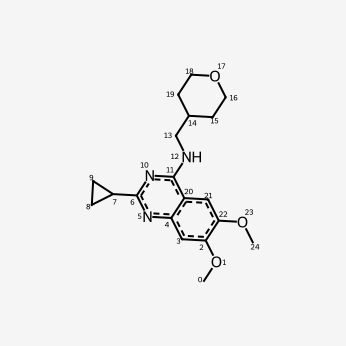 COc1cc2nc(C3CC3)nc(NCC3CCOCC3)c2cc1OC